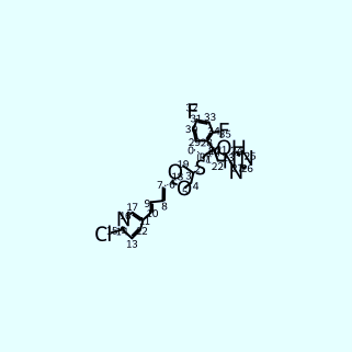 C[C@@H](S[C@H]1CO[C@H](C=CC=Cc2ccc(Cl)nc2)OC1)[C@](O)(Cn1cncn1)c1ccc(F)cc1F